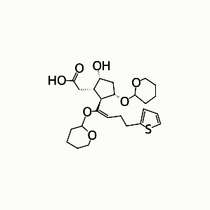 O=C(O)C[C@H]1[C@H](C(=CCCc2cccs2)OC2CCCCO2)[C@@H](OC2CCCCO2)C[C@H]1O